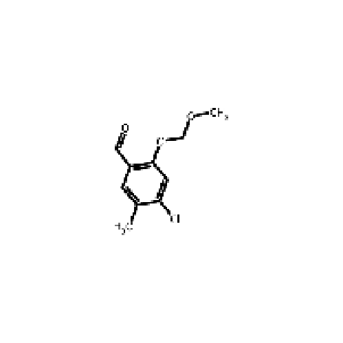 COCOc1cc(Cl)c(C)cc1C=O